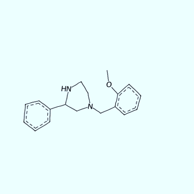 COc1ccccc1CN1CCNC(c2ccccc2)C1